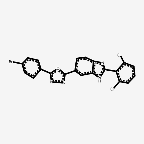 Clc1cccc(Cl)c1-c1nc2ccc(-c3nnc(-c4ccc(Br)cc4)o3)cc2[nH]1